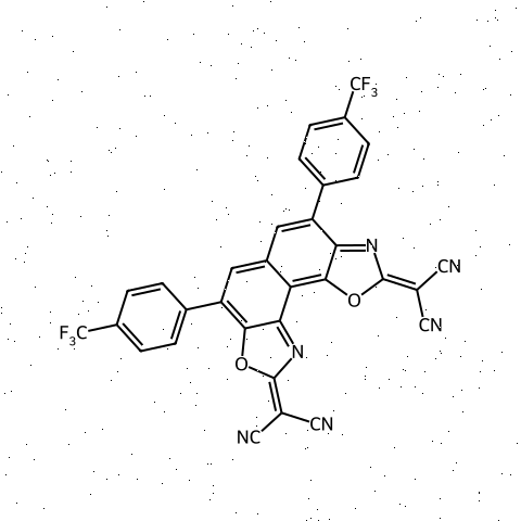 N#CC(C#N)=c1nc2c(o1)c(-c1ccc(C(F)(F)F)cc1)cc1cc(-c3ccc(C(F)(F)F)cc3)c3nc(=C(C#N)C#N)oc3c12